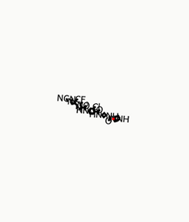 Cn1c(-c2cn(CC#N)nc2C(F)(F)F)cnc1C(=O)Nc1ccc(C(=O)NC2CC(NC(=O)N3CC4CC3CN4)C2)c(Cl)c1